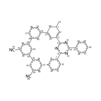 CC1C=C(c2nc(-c3ccccc3)nc(-c3ccccc3)n2)C=C(c2cccc(-c3cc(C#N)cc(-c4cccc(C#N)c4)c3)c2)C1